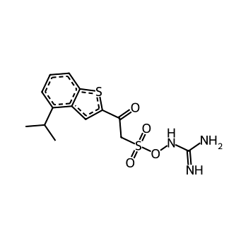 CC(C)c1cccc2sc(C(=O)CS(=O)(=O)ONC(=N)N)cc12